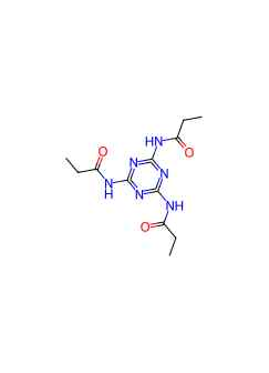 CCC(=O)Nc1nc(NC(=O)CC)nc(NC(=O)CC)n1